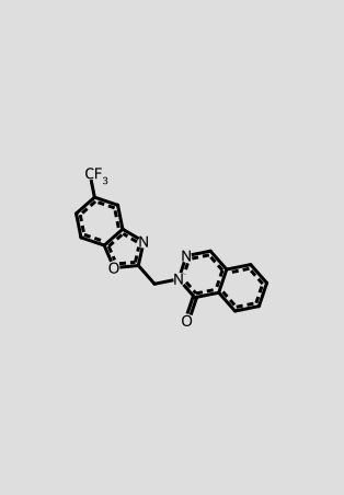 O=c1c2ccccc2cnn1Cc1nc2cc(C(F)(F)F)ccc2o1